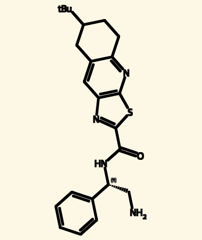 CC(C)(C)C1CCc2nc3sc(C(=O)N[C@H](CN)c4ccccc4)nc3cc2C1